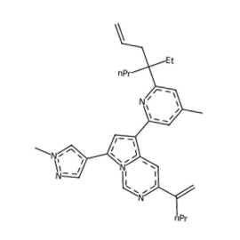 C=CCC(CC)(CCC)c1cc(C)cc(-c2cc(-c3cnn(C)c3)n3cnc(C(=C)CCC)cc23)n1